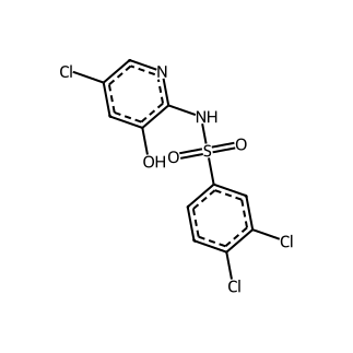 O=S(=O)(Nc1ncc(Cl)cc1O)c1ccc(Cl)c(Cl)c1